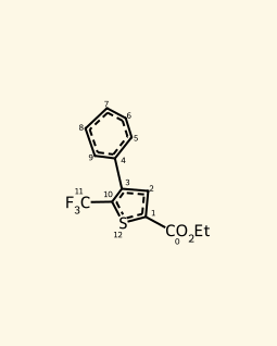 CCOC(=O)c1cc(-c2ccccc2)c(C(F)(F)F)s1